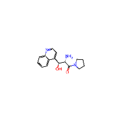 N[C@H](C(=O)N1CCCC1)[C@@H](O)c1ccnc2ccccc12